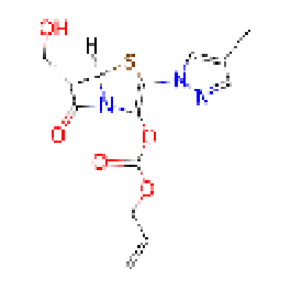 C=CCOC(=O)OC1=C(n2cc(C)cn2)S[C@@H]2[C@@H](CO)C(=O)N12